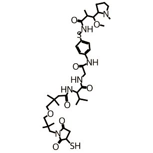 COC(C(C)C(=O)NSc1ccc(NC(=O)CNC(=O)C(NC(=O)CC(C)(C)COCC(C)(C)CN2C(=O)CC(S)C2=O)C(C)C)cc1)C1CCCN1C